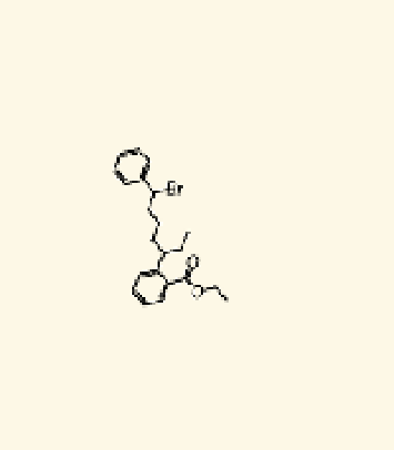 CCOC(=O)c1ccccc1C(CC)CCCC(Br)c1ccccc1